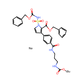 CC(C)(C)OC(=O)NCCCNC(=O)c1ccc(-c2ccn(S(=O)(=O)NC(=O)OCc3ccccc3)c2C(=O)OCc2ccccc2)cc1.[Na]